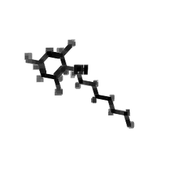 CCCCCCCPc1c(C)cc(C)cc1C